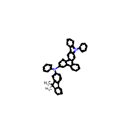 CC1(C)c2ccccc2-c2ccc(N(c3ccccc3)c3ccc4c(c3)c3ccccc3c3cc5c(cc43)c3ccccc3n5-c3ccccc3)cc21